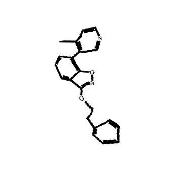 Cc1ccncc1-c1cccc2c(OCCc3ccccc3)noc12